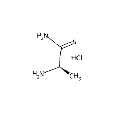 C[C@@H](N)C(N)=S.Cl